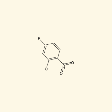 [O]c1cc(F)ccc1[SH](=O)=O